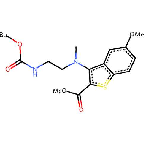 COC(=O)c1sc2ccc(OC)cc2c1N(C)CCNC(=O)OC(C)(C)C